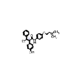 CC/C(=C(/C(=O)Nc1ccc(OCCN(C)C)cc1)c1ccc(O)cc1)c1ccccc1